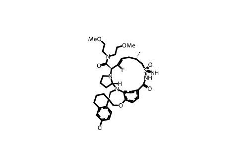 COCCN(CCOC)C(=O)[C@H]1/C(F)=C/C[C@H](C)CS(=N)(=O)NC(=O)c2ccc3c(c2)N(C[C@@]2(CCCc4cc(Cl)ccc42)CO3)[C@@H]2CCCN12